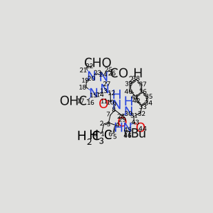 C=C/C=C(\C=C/C)CC(NC(=O)CN1CN(CC=O)CCN(CC=O)CN(CC(=O)O)C1)C(=O)N[C@@H](Cc1ccc2ccccc2c1)C(=O)NCCCC